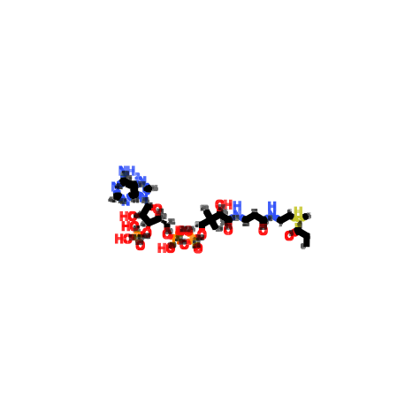 CCC(=O)[SH](C)CCNC(=O)CCNC(=O)C(O)C(C)(C)COP(=O)(O)OP(=O)(O)OC[C@H]1O[C@@H](n2cnc3c(N)ncnc32)[C@H](O)[C@@H]1OP(=O)(O)O